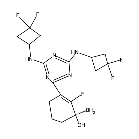 B[C@]1(O)CCCC(c2nc(NC3CC(F)(F)C3)nc(NC3CC(F)(F)C3)n2)=C1F